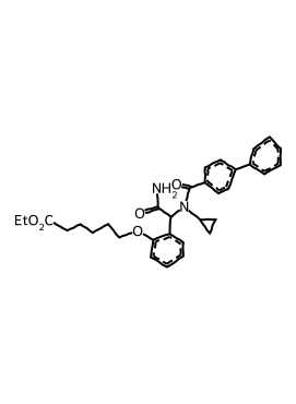 CCOC(=O)CCCCCOc1ccccc1C(C(N)=O)N(C(=O)c1ccc(-c2ccccc2)cc1)C1CC1